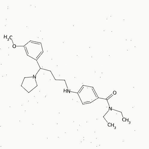 CCN(CC)C(=O)c1ccc(NCCCC(c2cccc(OC)c2)N2CCCC2)cc1